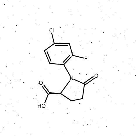 O=C(O)[C@@H]1CCC(=O)N1c1ccc(Cl)cc1F